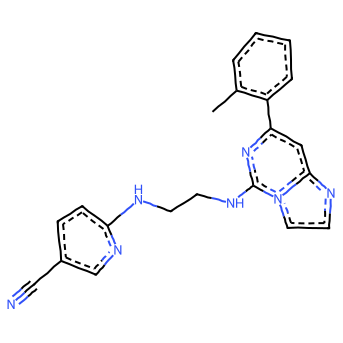 Cc1ccccc1-c1cc2nccn2c(NCCNc2ccc(C#N)cn2)n1